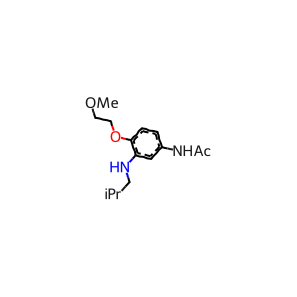 COCCOc1ccc(NC(C)=O)cc1NCC(C)C